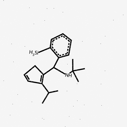 CC(C)C1=C(C(NC(C)(C)C)c2ccccc2[SiH3])CC=C1